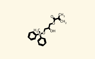 C=C(C)C(=O)OCC(O)CO[Si](C)(c1ccccc1)c1ccccc1